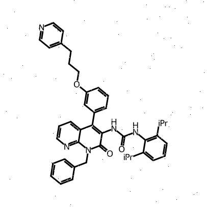 CC(C)c1cccc(C(C)C)c1NC(=O)Nc1c(-c2cccc(OCCCc3ccncc3)c2)c2cccnc2n(Cc2ccccc2)c1=O